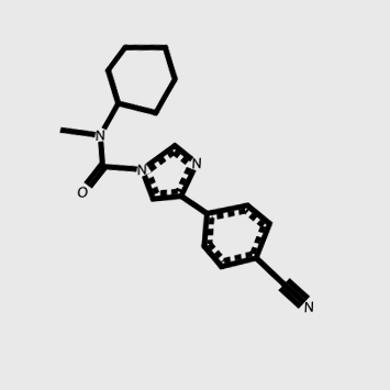 CN(C(=O)n1cnc(-c2ccc(C#N)cc2)c1)C1CCCCC1